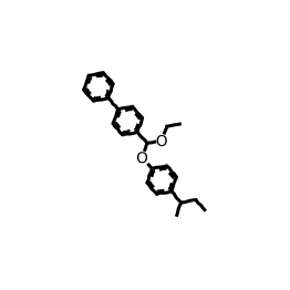 CCOC(Oc1ccc(C(C)CC)cc1)c1ccc(-c2ccccc2)cc1